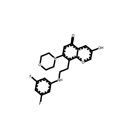 O=c1cc(N2CCOCC2)c(CCNc2cc(F)cc(F)c2)c2occ(O)cc1-2